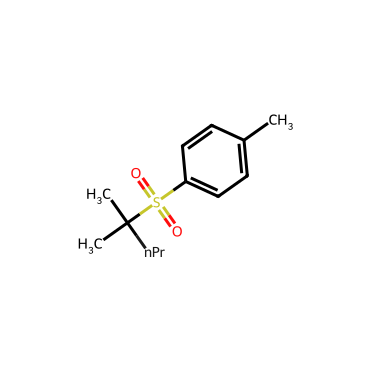 CCCC(C)(C)S(=O)(=O)c1ccc(C)cc1